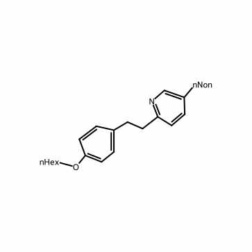 CCCCCCCCCc1ccc(CCc2ccc(OCCCCCC)cc2)nc1